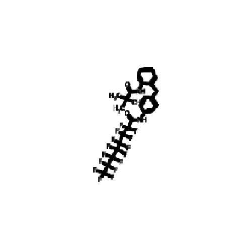 CC(C)(C)C(=O)Nc1ccccc1Cc1ccc(NC(=O)C(F)(F)C(F)(F)C(F)(F)C(F)(F)C(F)(F)C(F)(F)C(F)(F)F)cc1